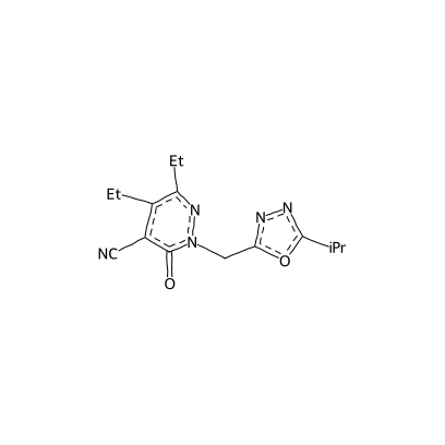 CCc1nn(Cc2nnc(C(C)C)o2)c(=O)c(C#N)c1CC